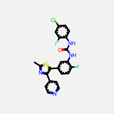 Cc1nc(-c2ccncc2)c(-c2ccc(F)c(NC(=O)Nc3ccc(Cl)cc3F)c2)s1